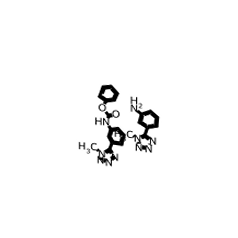 Cn1nnnc1-c1cccc(N)c1.Cn1nnnc1-c1cccc(NC(=O)Oc2ccccc2)c1